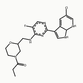 CCC(=O)N1CCOC(CNc2nc(C3=CNC4NC=C(Cl)C=C34)ncc2F)C1